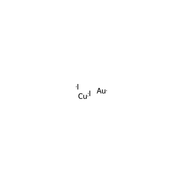 [Au].[Cu].[I].[I]